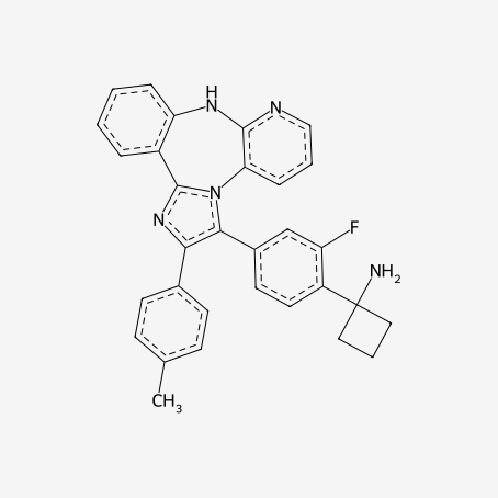 Cc1ccc(-c2nc3n(c2-c2ccc(C4(N)CCC4)c(F)c2)-c2cccnc2Nc2ccccc2-3)cc1